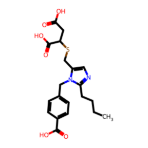 CCCCc1ncc(CSC(CC(=O)O)C(=O)O)n1Cc1ccc(C(=O)O)cc1